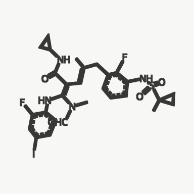 C/C(=C\C(C(=O)NC1CC1)=C(\Nc1ccc(I)cc1F)N(C)C=O)Cc1cccc(NS(=O)(=O)C2(C)CC2)c1F